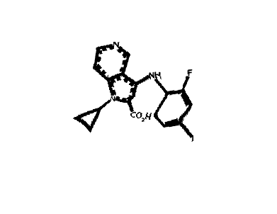 O=C(O)c1c(NC2CC=C(I)C=C2F)c2cnccc2n1C1CC1